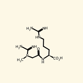 CN(CC(=O)N[C@@H](CCCNC(=N)N)C(=O)O)C(=N)N